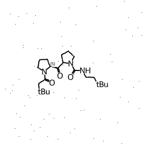 CC(C)(C)CCNC(=O)N1CCCC1C(=O)[C@@H]1CCCN1C(=O)CC(C)(C)C